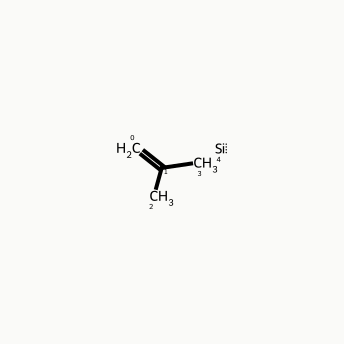 C=C(C)C.[Si]